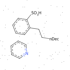 CCCCCCCCCCCCc1ccccc1S(=O)(=O)O.c1ccncc1